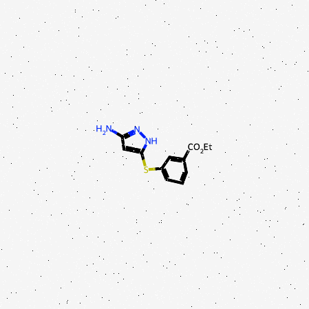 CCOC(=O)c1cccc(Sc2cc(N)n[nH]2)c1